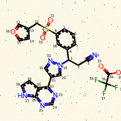 N#CCC(c1cccc(S(=O)(=O)Cc2ccoc2)c1)n1cc(-c2ncnc3[nH]ccc23)cn1.O=C(O)C(F)(F)F